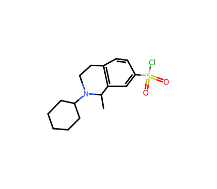 CC1c2cc(S(=O)(=O)Cl)ccc2CCN1C1CCCCC1